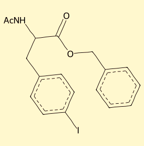 CC(=O)NC(Cc1ccc(I)cc1)C(=O)OCc1ccccc1